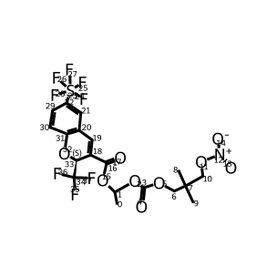 CC(OC(=O)OCC(C)(C)CO[N+](=O)[O-])OC(=O)C1=Cc2cc(S(F)(F)(F)(F)F)ccc2O[C@@H]1C(F)(F)F